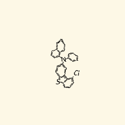 Clc1cccc2sc3ccc(N(c4ccccc4)c4cccc5ccccc45)cc3c12